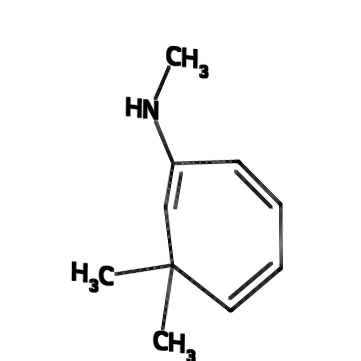 CNC1=CC(C)(C)C=CC=C1